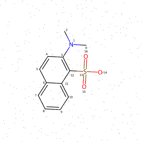 CN(C)c1ccc2ccccc2c1S([O])(=O)=O